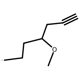 C#CCC(CC[CH2])OC